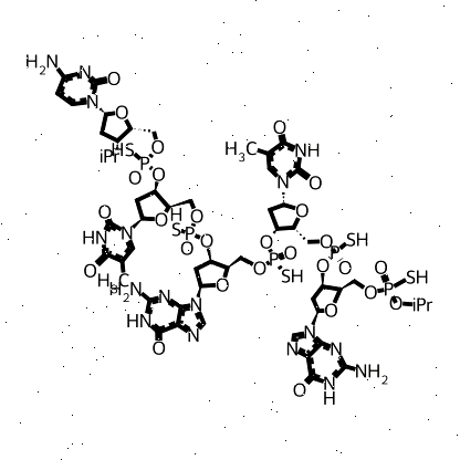 Cc1cn([C@H]2C[C@@H](OP(=O)(S)OC[C@H]3O[C@@H](n4cnc5c(=O)[nH]c(N)nc54)C[C@H]3OP(=O)(S)OC[C@H]3O[C@@H](n4cc(C)c(=O)[nH]c4=O)C[C@H]3OP(=O)(S)OC[C@H]3O[C@@H](n4ccc(N)nc4=O)C[C@H]3C(C)C)[C@@H](COP(=O)(S)O[C@@H]3C[C@H](n4cnc5c(=O)[nH]c(N)nc54)O[C@@H]3COP(=O)(S)OC(C)C)O2)c(=O)[nH]c1=O